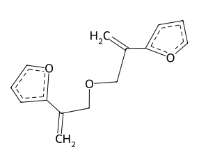 C=C(COCC(=C)c1ccco1)c1ccco1